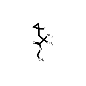 CCOC(=O)C(C)(N)CC1(F)CC1